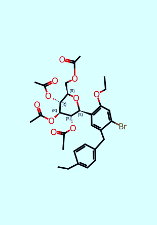 CCOc1cc(Br)c(Cc2ccc(CC)cc2)cc1[C@@H]1O[C@H](COC(C)=O)[C@@H](OC(C)=O)[C@H](OC(C)=O)[C@H]1OC(C)=O